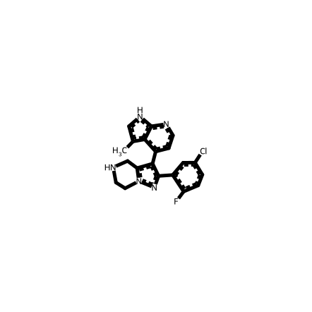 Cc1c[nH]c2nccc(-c3c(-c4cc(Cl)ccc4F)nn4c3CNCC4)c12